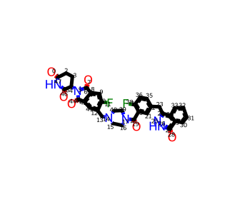 O=C1CCC(N2C(=O)c3cc(F)c(CN4CCN(C(=O)c5cc(Cc6n[nH]c(=O)c7ccccc67)ccc5F)CC4)cc3C2=O)C(=O)N1